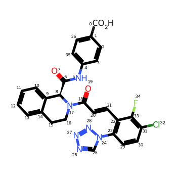 O=C(O)c1ccc(NC(=O)[C@@H]2c3ccccc3CCN2C(=O)C=Cc2c(-n3cnnn3)ccc(Cl)c2F)cc1